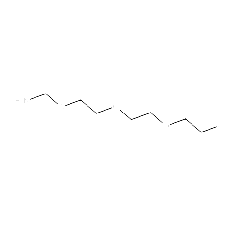 NCOCCOCCOCCO